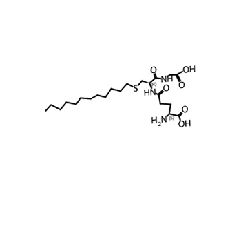 CCCCCCCCCCCCSC[C@H](NC(=O)CC[C@H](N)C(=O)O)C(=O)NCC(=O)O